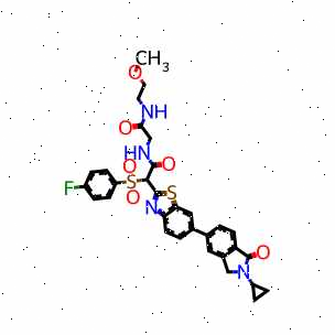 COCCNC(=O)CNC(=O)C(c1nc2ccc(-c3ccc4c(c3)CN(C3CC3)C4=O)cc2s1)S(=O)(=O)c1ccc(F)cc1